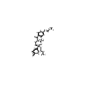 C[C@@H](c1ccc(OCC(F)(F)F)cc1)N1CCC(CCCO)(c2ccc(F)cc2)OC1=O